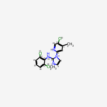 Cc1cc(N2C=CN(C)C2Nc2c(Cl)cccc2Cl)ncc1Cl